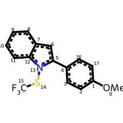 COc1ccc(-c2cc3ccccc3n2SC(F)(F)F)cc1